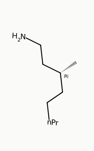 CCCCC[C@@H](C)CCN